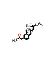 C=C(C)CC(=C)/C=c1/ccc(CC(C)=O)c/c1=C/C